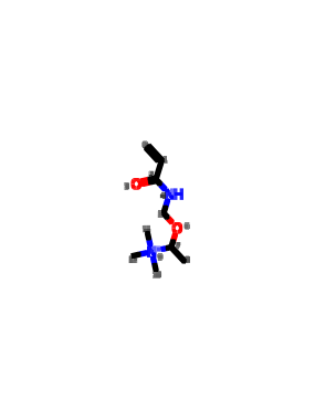 C=CC(=O)NCOC(C)[N+](C)(C)C